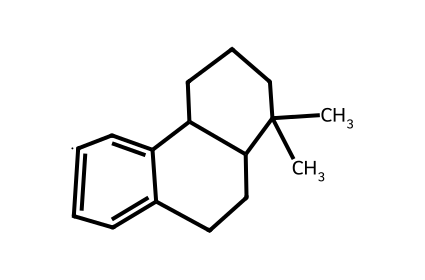 CC1(C)CCCC2c3c[c]ccc3CCC21